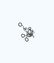 CC(CN1C(=O)[C@@H]2CCCN2C(=O)C12CCN(CCc1ccccc1)CC2)(c1ccccc1)c1ccccc1